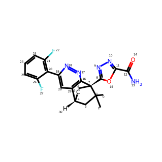 CC1(C)C[C@H]2CC[C@]1(c1nnc(C(N)=O)o1)c1nnc(-c3c(F)cccc3F)cc12